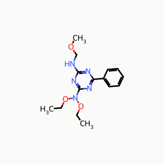 CCON(OCC)c1nc(NCOC)nc(-c2ccccc2)n1